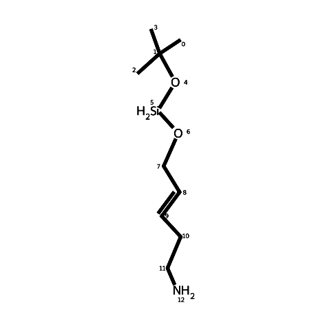 CC(C)(C)O[SiH2]OCC=CCCN